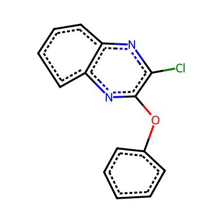 Clc1nc2ccccc2nc1Oc1ccccc1